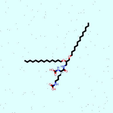 CCCCCCCCCCCCCCOCC(CNC(=O)[C@H](CCCCNC(=O)O)NC(=O)O)OCCCCCCCCCCCCCC